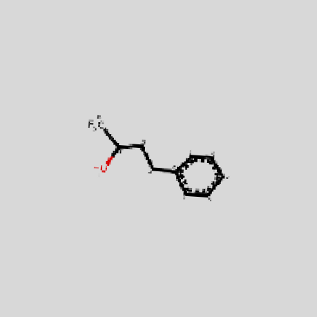 OC(CCc1ccccc1)C(F)(F)F